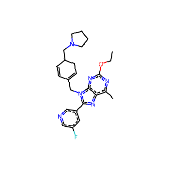 CCOc1nc(C)c2nc(-c3cncc(F)c3)n(CC3=CCC(CN4CCCC4)C=C3)c2n1